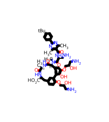 Cc1nc(-c2ccc(C(C)(C)C)cc2)nc(C)c1C(=O)N[C@@H](CN)C(=O)N(C)[C@@H]1C(=O)N[C@@H](C)C(=O)N[C@H](C(=O)O)Cc2ccc(OC[C@H](O)CN)c(c2)-c2cc1cc(OC[C@H](O)CN)c2O